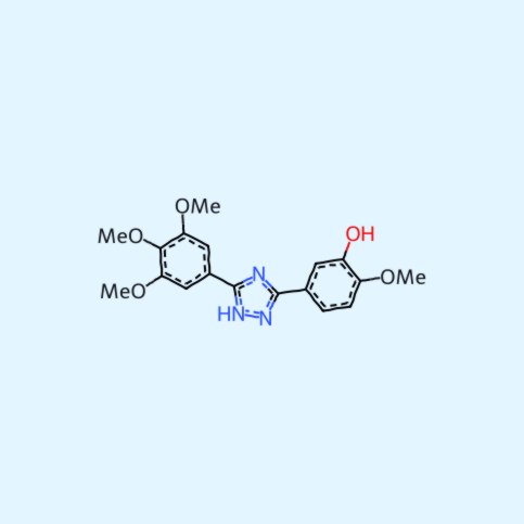 COc1ccc(-c2n[nH]c(-c3cc(OC)c(OC)c(OC)c3)n2)cc1O